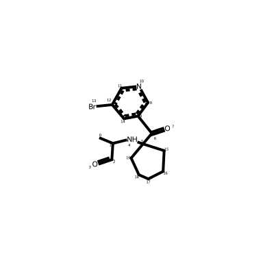 CC([C]=O)NC1(C(=O)c2cncc(Br)c2)CCCCC1